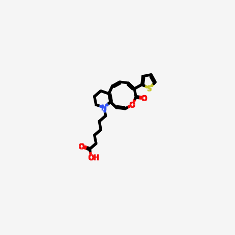 O=C(O)CCCCCN1CCCc2cccc(-c3cccs3)c(=O)occc21